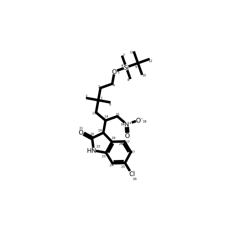 CC(C)(CCO[Si](C)(C)C(C)(C)C)CC(C[N+](=O)[O-])C1C(=O)Nc2cc(Cl)ccc21